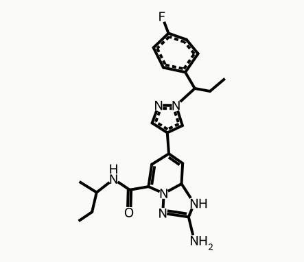 CCC(C)NC(=O)C1=CC(c2cnn(C(CC)c3ccc(F)cc3)c2)=CC2NC(N)=NN12